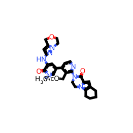 CC(=O)OCc1c(-c2cc(Nc3cc4n(n3)CCOC4)c(=O)n(C)c2)ccnc1N1CCn2c(cc3c2CCCC3)C1=O